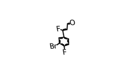 O=CC=C(F)c1ccc(F)c(Br)c1